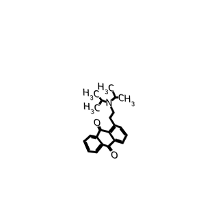 CC(C)N(CCc1cccc2c1C(=O)c1ccccc1C2=O)C(C)C